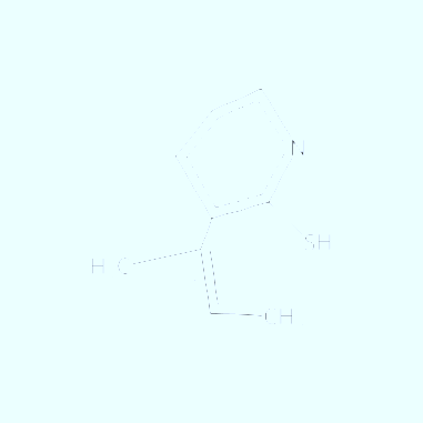 C/C=C(/C)c1cccnc1S